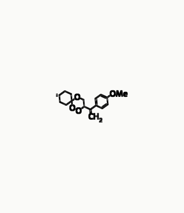 C=C(c1ccc(OC)cc1)C1COC2(CC[C]CC2)OO1